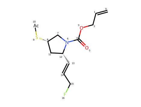 C=CCOC(=O)N1C[C@@H](SC(C)=O)C[C@H]1C=CCF